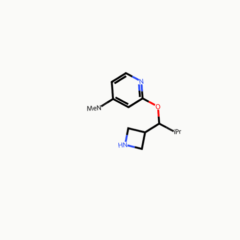 CNc1ccnc(OC(C(C)C)C2CNC2)c1